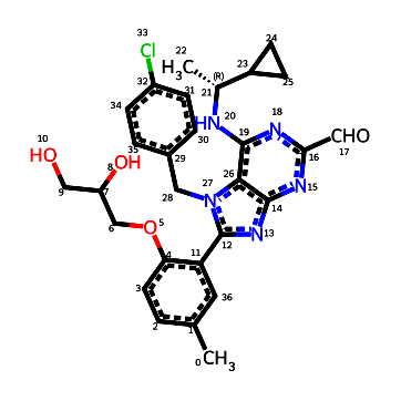 Cc1ccc(OCC(O)CO)c(-c2nc3nc(C=O)nc(N[C@H](C)C4CC4)c3n2Cc2ccc(Cl)cc2)c1